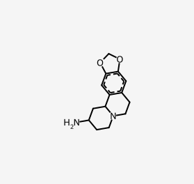 NC1CCN2CCc3cc4c(cc3C2C1)OCO4